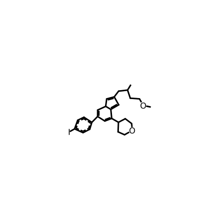 COCCC(C)CC1=CC2C=C(c3ccc(I)cc3)C=C(C3CCOCC3)C2=C1